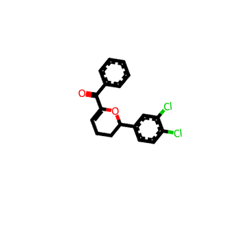 O=C(C1=CCCC(c2ccc(Cl)c(Cl)c2)O1)c1ccccc1